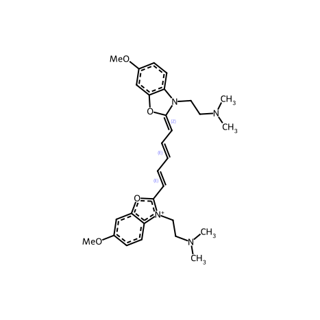 COc1ccc2c(c1)O\C(=C/C=C/C=C/c1oc3cc(OC)ccc3[n+]1CCN(C)C)N2CCN(C)C